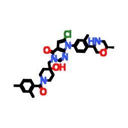 Cc1ccc(C(=O)N2CCC(O)(Cn3cnc4c(cc(Cl)n4-c4ccc(C5CO[C@H](C)CN5)c(C)c4)c3=O)CC2)c(C)c1